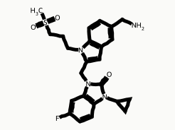 CS(=O)(=O)CCCn1c(Cn2c(=O)n(C3CC3)c3ccc(F)cc32)cc2cc(CN)ccc21